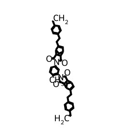 C=Cc1ccc(CCC2=CC3CC2C2C(=O)N(c4ccc(C)c(N5C(=O)C6C7C=C(CCc8ccc(C=C)cc8)C(C7)C6C5=O)c4)C(=O)C32)cc1